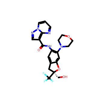 O=C(Nc1cc2c(cc1N1CCOCC1)O[C@@](CO)(C(F)(F)F)C2)c1cnn2cccnc12